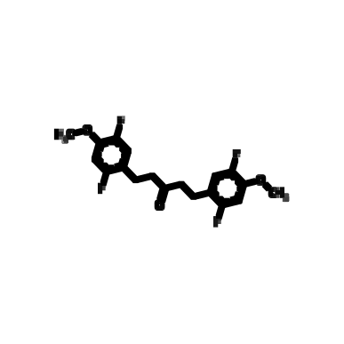 COc1cc(F)c(CCC(=O)CCc2cc(F)c(OC)cc2F)cc1F